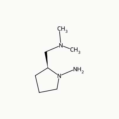 CN(C)C[C@@H]1CCCN1N